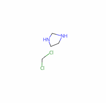 C1CNCN1.ClCCl